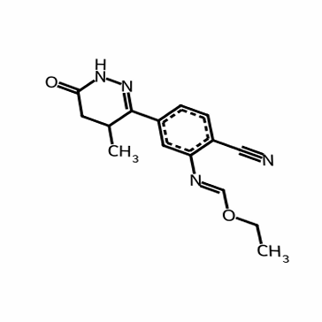 CCO/C=N/c1cc(C2=NNC(=O)CC2C)ccc1C#N